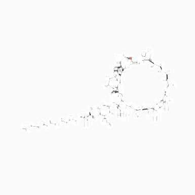 COCCOCCOCCOCCNC(=O)O[C@@H]1CC[C@@H](C[C@@H](N)[C@@H]2C[C@@H](O)[C@H](C)/C=C(\C)[C@@H](O)[C@@H](O)C(=O)[C@H](C)C[C@H](C)/C=C/C=C/C=C(\C)[C@@H](OC)C[C@@H]3CC[C@@H](C)C(=O)C(O)(O3)C(=O)N3CCCC[C@H]3C(=O)O2)C[C@H]1OC